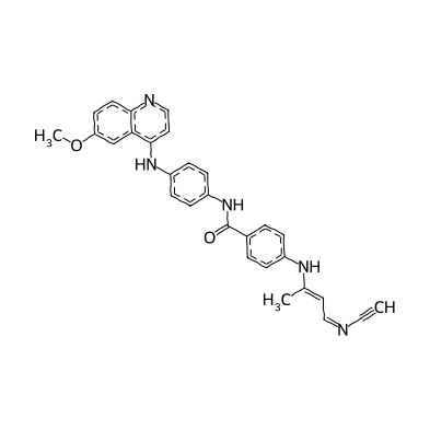 C#C/N=C\C=C(/C)Nc1ccc(C(=O)Nc2ccc(Nc3ccnc4ccc(OC)cc34)cc2)cc1